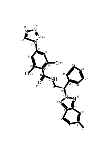 Cc1ccc2nn([C@@H](CNC(=O)c3c(Cl)cc(-n4cnnn4)cc3Cl)c3ccccc3)nc2c1